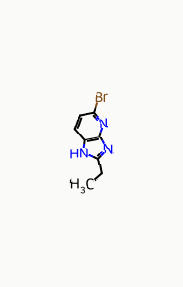 CCc1nc2nc(Br)ccc2[nH]1